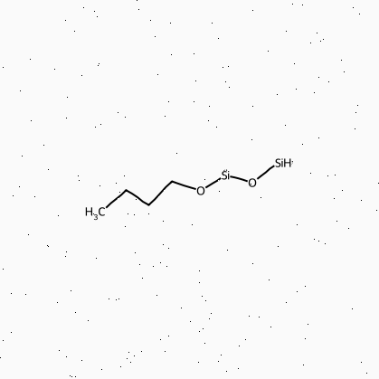 CCCCO[Si]O[SiH]